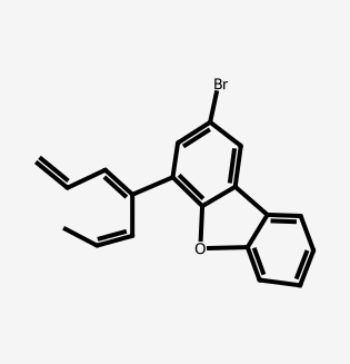 C=C/C=C(\C=C/C)c1cc(Br)cc2c1oc1ccccc12